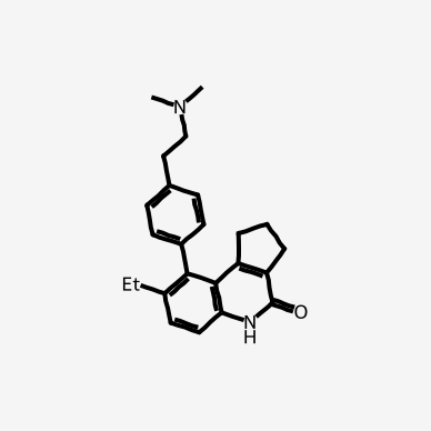 CCc1ccc2[nH]c(=O)c3c(c2c1-c1ccc(CCN(C)C)cc1)CCC3